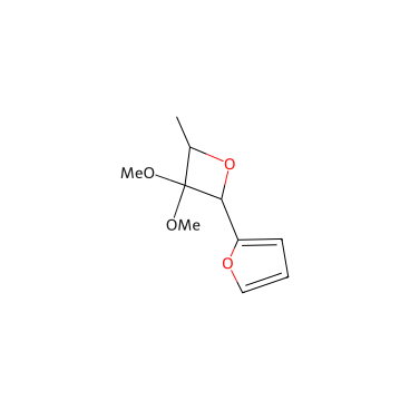 COC1(OC)C(C)OC1c1ccco1